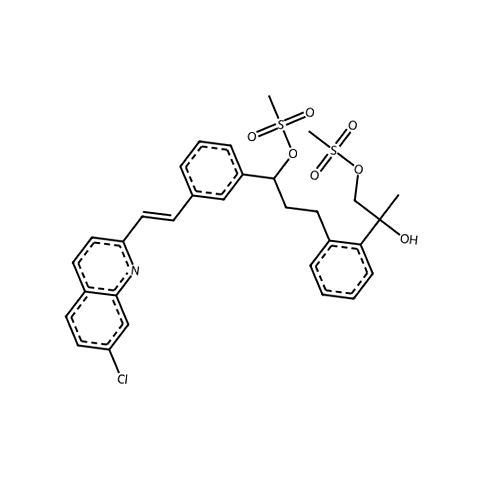 CC(O)(COS(C)(=O)=O)c1ccccc1CCC(OS(C)(=O)=O)c1cccc(C=Cc2ccc3ccc(Cl)cc3n2)c1